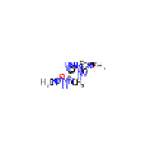 C/C=C\N=C(/CC)c1ccnc2[nH]c(-c3n[nH]c4ncc(C5=CC(NC(=O)N6CCN(C)CC6)=CN(C)C5)cc34)nc12